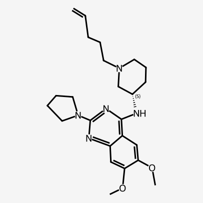 C=CCCCN1CCC[C@H](Nc2nc(N3CCCC3)nc3cc(OC)c(OC)cc23)C1